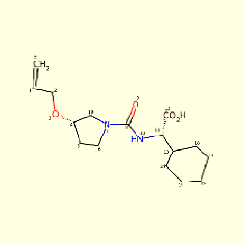 C=CCO[C@H]1CCN(C(=O)N[C@H](C(=O)O)C2CCCCC2)C1